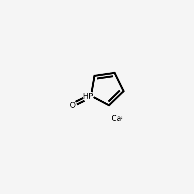 O=[PH]1C=CC=C1.[Ca]